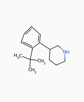 CC(C)(C)c1ccccc1C1CCCNC1